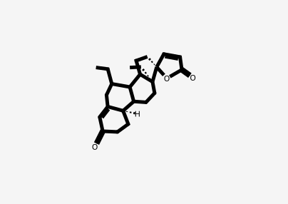 CCC1CC2=CC(=O)CC[C@@H]2C2CC[C@@]3(CC)C(CC[C@@]34C=CC(=O)O4)C12